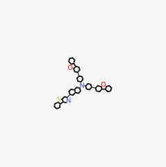 c1ccc2c(c1)oc1cc(-c3ccc(N(c4ccc(-c5ccc6c(c5)oc5ccccc56)cc4)c4ccc5cc(-c6cc7sc8ccccc8c7cn6)ccc5c4)cc3)ccc12